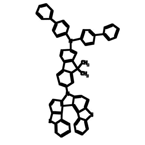 CC1(C)c2cc(N(c3ccc(-c4ccccc4)cc3)c3ccc(-c4ccccc4)cc3)ccc2-c2ccc(-n3c4ccc5sc6ccccc6c5c4c4c5c(ccc43)sc3ccccc35)cc21